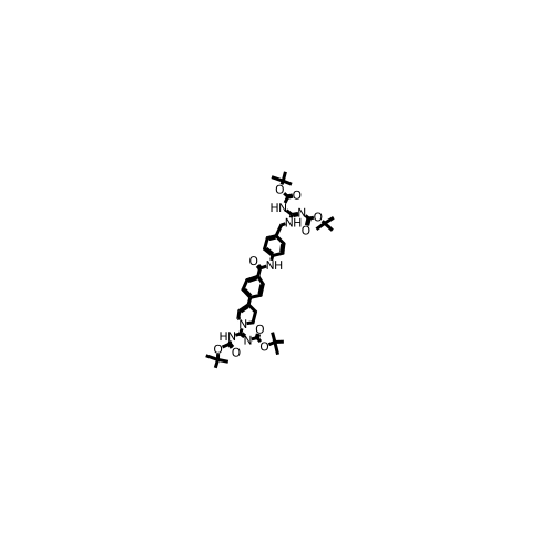 CC(C)(C)OC(=O)/N=C(/NC(=O)OC(C)(C)C)N1CC=C(c2ccc(C(=O)Nc3ccc(CN/C(=N\C(=O)OC(C)(C)C)NC(=O)OC(C)(C)C)cc3)cc2)CC1